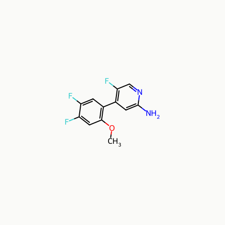 COc1cc(F)c(F)cc1-c1cc(N)ncc1F